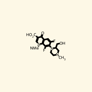 CNn1cc(C(=O)O)c(=O)c2cc(F)c(N3CCN(C)CC3CO)c(F)c21